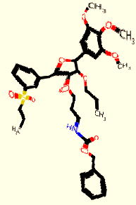 CCCOC1C(c2cc(OC)c(OC)c(OC)c2)OC(c2cccc(S(=O)(=O)CCC)c2)C1OCCCNC(=O)OCc1ccccc1